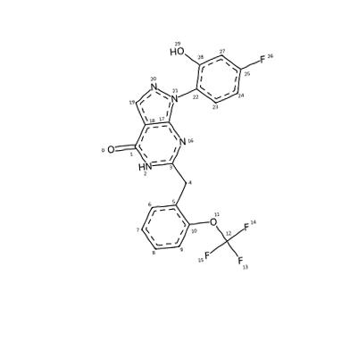 O=c1[nH]c(Cc2ccccc2OC(F)(F)F)nc2c1cnn2-c1ccc(F)cc1O